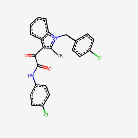 O=C(Nc1ccc(Cl)cc1)C(=O)c1c(C(F)(F)F)n(Cc2ccc(Cl)cc2)c2ccccc12